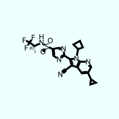 C[C@@H](NS(=O)(=O)c1cnc(-c2c(C#N)c3cc(C4CC4)cnc3n2C2CCC2)nc1)C(F)(F)F